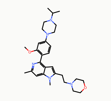 COc1cc(N2CCN(C(C)C)CC2)ccc1-c1nc(C)cc2c1cc(CCN1CCOCC1)n2C